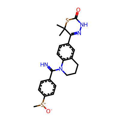 C[S+]([O-])c1ccc(C(=N)N2CCCc3cc(C4=NNC(=O)SC4(C)C)ccc32)cc1